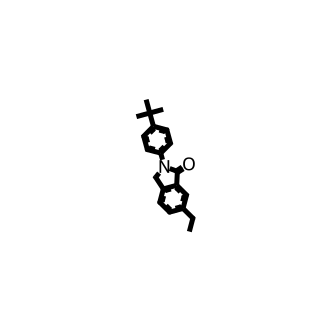 CCc1ccc2c(c1)C(=O)N(c1ccc(C(C)(C)C)cc1)C2